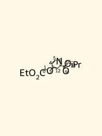 CCOC(=O)COc1ccnc(C(=O)OC(C)C)c1